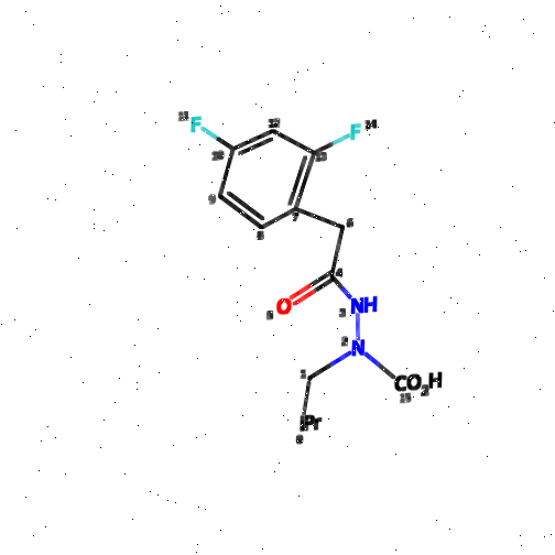 CC(C)CN(NC(=O)Cc1ccc(F)cc1F)C(=O)O